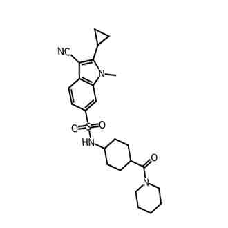 Cn1c(C2CC2)c(C#N)c2ccc(S(=O)(=O)NC3CCC(C(=O)N4CCCCC4)CC3)cc21